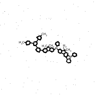 Cc1ccc(-c2cc(-c3ccc(C)cc3)cc(-c3cccc(-c4ccc5c(c4)C(C)(C)c4cc(N(c6ccccc6)c6ccc7c(c6)C(C)(C)c6cc8c(cc6-7)C6CC=CC=C6N8c6ccccc6)ccc4-5)c3)c2)cc1